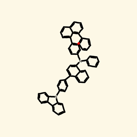 c1ccc(-c2cccc3cccc(-c4ccc(N(c5ccccc5)c5ccc(-c6ccc(-n7c8ccccc8c8ccccc87)cc6)c6ccccc56)cc4)c23)cc1